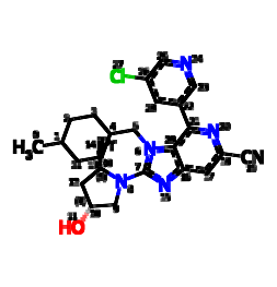 CC1CCC(Cn2c(N3C[C@H](O)C[C@H]3C(C)C)nc3cc(C#N)nc(-c4cncc(Cl)c4)c32)CC1